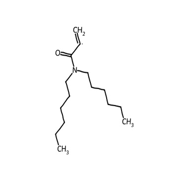 C=[C]C(=O)N(CCCCCC)CCCCCC